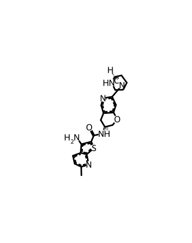 Cc1ccc2c(N)c(C(=O)N[C@H]3COc4cc(N5C[C@@H]6CCC5CN6)ncc4C3)sc2n1